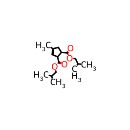 CC1=CC(C(=O)OCC(C)C)C(C(=O)OCC(C)C)C1